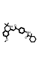 COc1ccc2c(c1)C(=CC(=O)c1ccc(NC(=O)C3(C)CCCCC3)cc1)NC(C)(C)C2